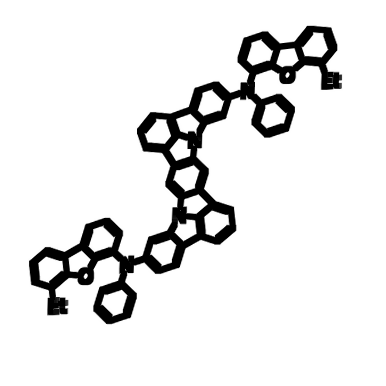 CCc1cccc2c1oc1c(N(c3ccccc3)c3ccc4c5cccc6c7cc8c(cc7n(c4c3)c56)c3cccc4c5ccc(N(c6ccccc6)c6cccc7c6oc6c(CC)cccc67)cc5n8c43)cccc12